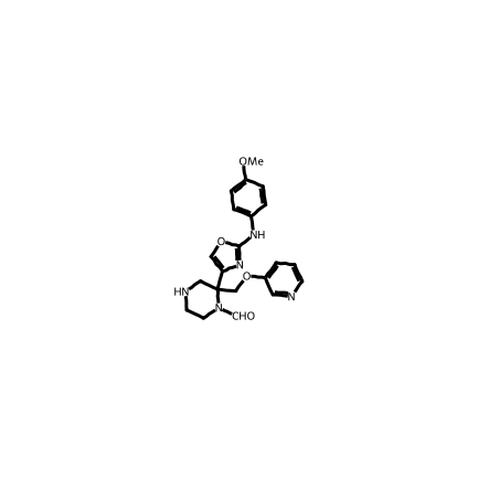 COc1ccc(Nc2nc(C3(COc4cccnc4)CNCCN3C=O)co2)cc1